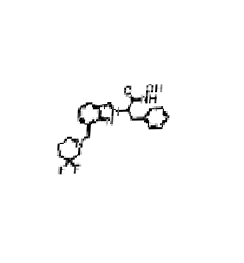 O=C(NO)C(Cc1ccccc1)n1cc2cccc(CN3CCCC(F)(F)C3)c2n1